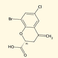 C=C1C[C@H](C(=O)O)Oc2c(Br)cc(Cl)cc21